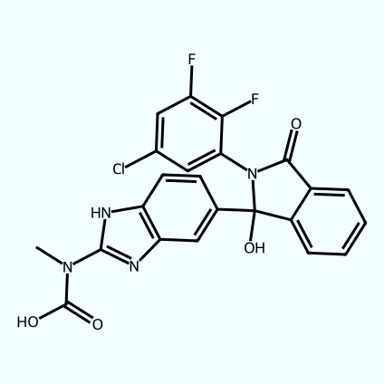 CN(C(=O)O)c1nc2cc(C3(O)c4ccccc4C(=O)N3c3cc(Cl)cc(F)c3F)ccc2[nH]1